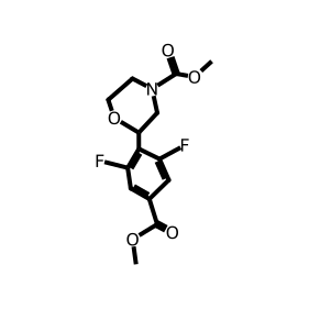 COC(=O)c1cc(F)c(C2CN(C(=O)OC)CCO2)c(F)c1